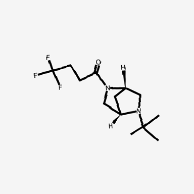 CC(C)(C)N1C[C@@H]2C[C@H]1CN2C(=O)CCC(F)(F)F